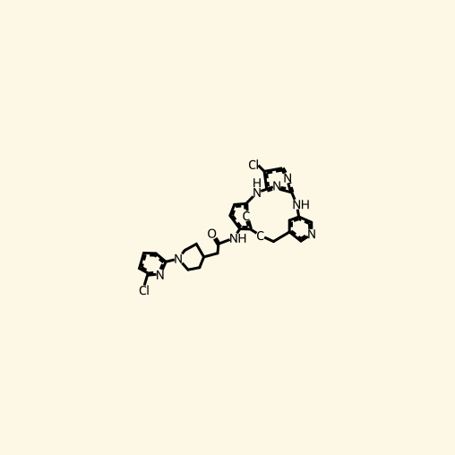 O=C(CC1CCN(c2cccc(Cl)n2)CC1)Nc1ccc2cc1CCc1cncc(c1)Nc1ncc(Cl)c(n1)N2